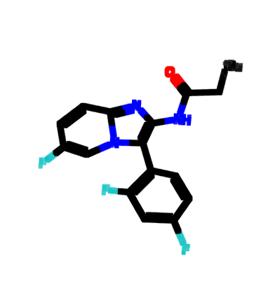 CC(C)(C)CC(=O)Nc1nc2ccc(F)cn2c1-c1ccc(F)cc1F